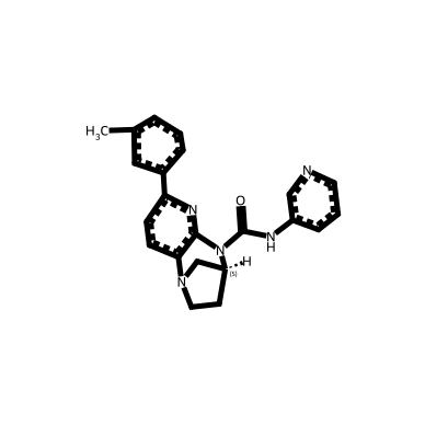 Cc1cccc(-c2ccc3c(n2)N(C(=O)Nc2cccnc2)[C@H]2CCN3C2)c1